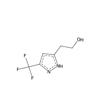 OCCc1cc(C(F)(F)F)n[nH]1